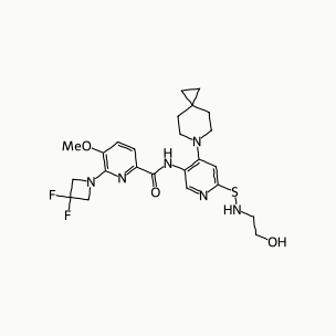 COc1ccc(C(=O)Nc2cnc(SNCCO)cc2N2CCC3(CC2)CC3)nc1N1CC(F)(F)C1